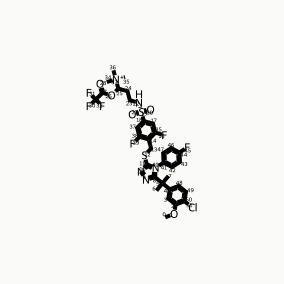 COc1cc(C(C)(C)c2nnc(SCc3c(F)cc(S(=O)(=O)NCCC(OC(=O)C(F)(F)F)[N+](C)(C)C)cc3F)n2-c2ccc(F)cc2)ccc1Cl